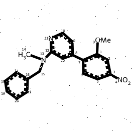 COc1cc([N+](=O)[O-])ccc1-c1ccnc(N(C)Cc2ccccc2)c1